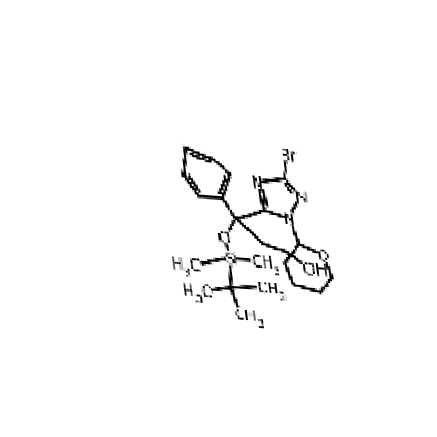 CC(C)(C)[Si](C)(C)OC(CCO)(c1ccccc1)c1nc(Br)nn1C1CCCCO1